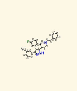 N#CC1=CC(c2cc(C3CCN(CCc4ccccc4)CC3c3ccc(F)cc3)[nH]n2)CC=C1